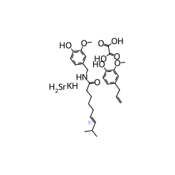 C=CCc1ccc(O)c(OC)c1.COc1cc(CNC(=O)CCCC/C=C/C(C)C)ccc1O.O=C(O)C(=O)O.[KH].[SrH2]